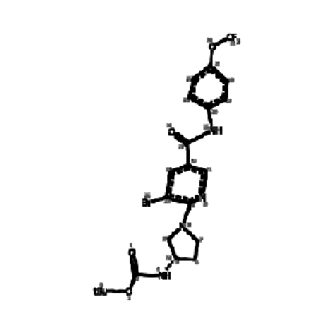 CC(C)(C)OC(=O)N[C@H]1CCN(c2ncc(C(=O)Nc3ccc(OC(F)(F)F)cc3)cc2Br)C1